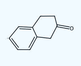 O=C1CCc2c[c]ccc2C1